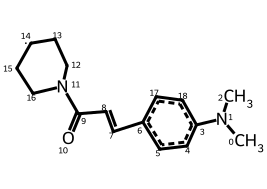 CN(C)c1ccc(/C=C/C(=O)N2CC[CH]CC2)cc1